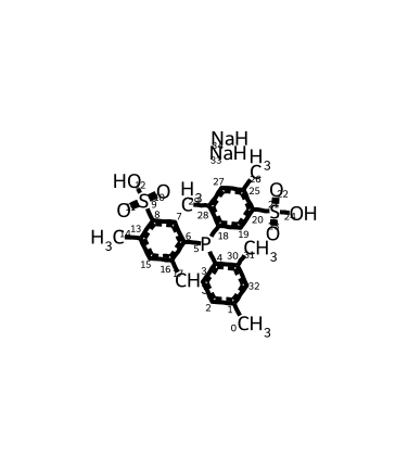 Cc1ccc(P(c2cc(S(=O)(=O)O)c(C)cc2C)c2cc(S(=O)(=O)O)c(C)cc2C)c(C)c1.[NaH].[NaH]